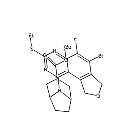 CCSc1nc(N2C3CCC2CN(C(=O)OC(C)(C)C)C3)c2c3c(c(Br)c(F)c2n1)COC3